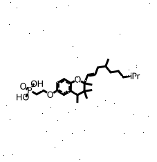 CC(C)CCCC(C)CC=CC1(C)Oc2ccc(OCCP(=O)(O)O)cc2C(C)C1(C)C